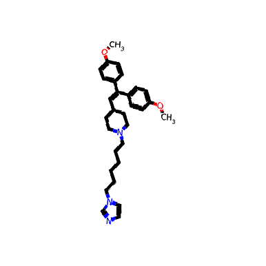 COc1ccc(C(=CC2CCN(CCCCCCn3ccnc3)CC2)c2ccc(OC)cc2)cc1